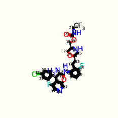 N[C@H](C(=O)Nc1cccc(F)c1CC[C@@H]1CN[C@H](COC(=O)NCC(F)(F)F)CO1)[C@@H](c1ccc(Cl)cc1)c1ccncc1F